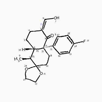 C[C@H]1[C@@H]2CC/C(=C/O)C(=O)[C@@]2(c2ccc(F)cc2)CCC12OCCO2